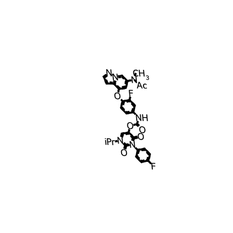 CC(=O)N(C)c1cc(Oc2ccc(NC(=O)Oc3cn(C(C)C)c(=O)n(-c4ccc(F)cc4)c3=O)cc2F)c2ccnn2c1